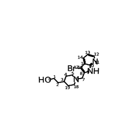 OCCC1CCN(Cc2[nH]c3ncccc3c2Br)CC1